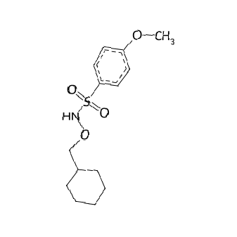 COc1ccc(S(=O)(=O)NOCC2CCCCC2)cc1